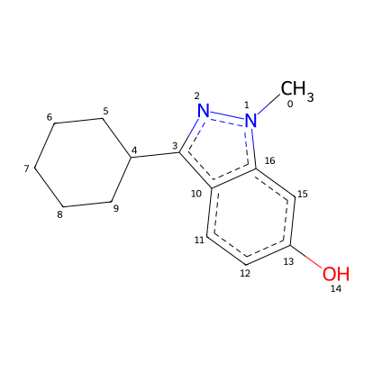 Cn1nc(C2CCCCC2)c2ccc(O)cc21